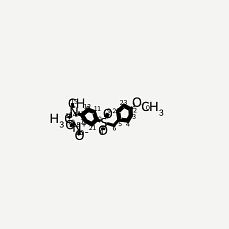 COc1ccc(CS(=O)(=O)c2ccc(N(C)C)c([N+](=O)[O-])c2)cc1